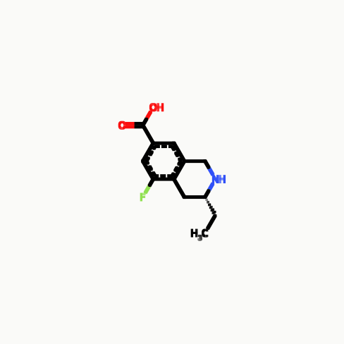 CC[C@@H]1Cc2c(F)cc(C(=O)O)cc2CN1